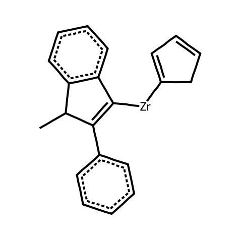 CC1C(c2ccccc2)=[C]([Zr][C]2=CC=CC2)c2ccccc21